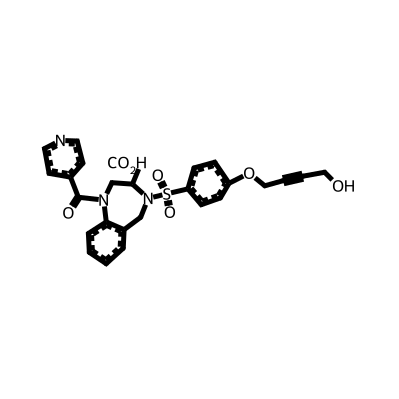 O=C(O)C1CN(C(=O)c2ccncc2)c2ccccc2CN1S(=O)(=O)c1ccc(OCC#CCO)cc1